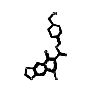 CCn1cc(C(=O)OC=C2CCC(CO)CC2)c(=O)c2cc3c(cc21)OCO3